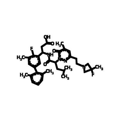 Cc1cc(-c2c(C)cccc2C)cc(C(CC(=O)O)NC(=O)C(CC(C)C)n2nc(CCN3CC(C)(F)C3)cc(C)c2=O)c1F